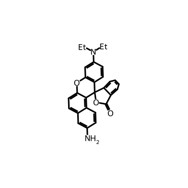 CCN(CC)c1ccc2c(c1)Oc1ccc3cc(N)ccc3c1C21OC(=O)c2ccccc21